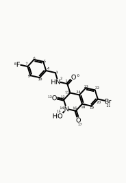 O=C(NCc1ccc(F)cc1)C1C(=O)N(O)C(=O)c2cc(Br)ccc21